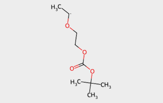 C[CH]OCCOC(=O)OC(C)(C)C